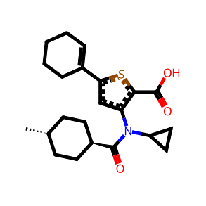 C[C@H]1CC[C@H](C(=O)N(c2cc(C3=CCCCC3)sc2C(=O)O)C2CC2)CC1